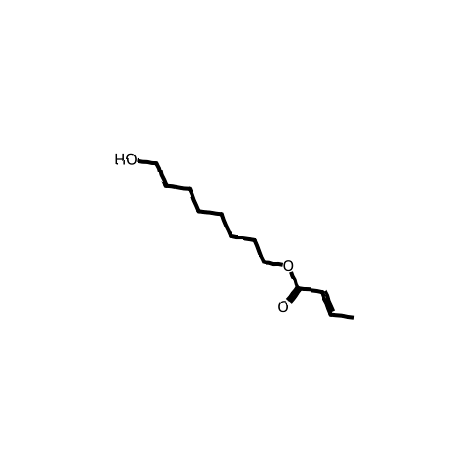 CC=CC(=O)OCCCCCCCCO